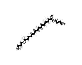 CC(C)CCCOC(=O)CCCCCCCCCCCCCCC(=O)OCCCC(C)C